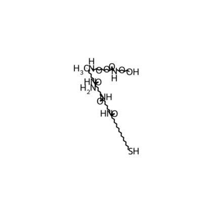 C[C@@H](CCCCNC(=O)[C@@H](N)CCCCNC(=O)CCCCCNC(=O)CCCCCCCCCCCCCCCS)NCCOCCOCC(=O)NCCOCCO